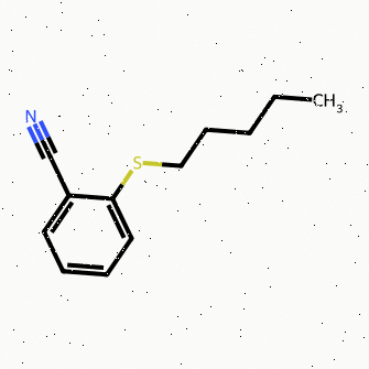 CCCCCSc1ccccc1C#N